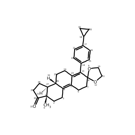 C[C@]12CCC3=C4CCC5(OCCO5)C(c5ccc(C6CC6)cc5)=C4CC[C@H]3[C@@H]1CCC2=O